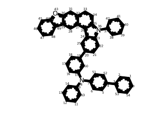 c1ccc(-c2ccc(N(c3ccccc3)c3cccc(-c4ccc5c(c4)c4c6cc7c(cc6ccc4n5-c4ccccc4)oc4ccccc47)c3)cc2)cc1